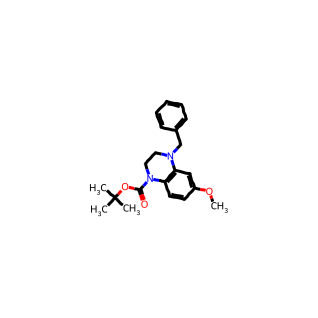 COc1ccc2c(c1)N(Cc1ccccc1)CCN2C(=O)OC(C)(C)C